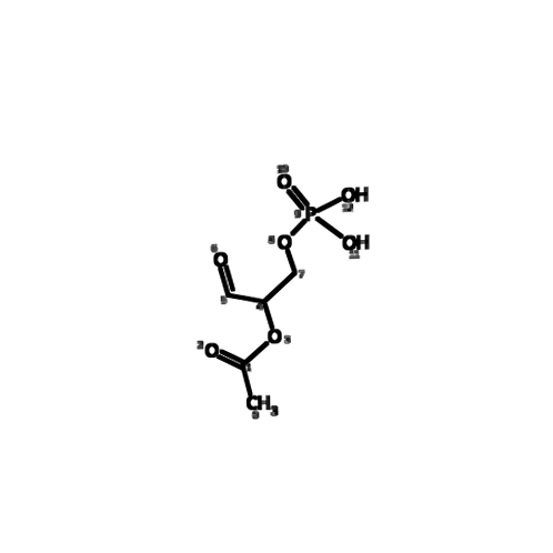 CC(=O)OC(C=O)COP(=O)(O)O